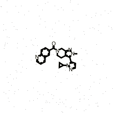 Cn1nc2c(c1-c1ccnn1C1CC1)CCN(C(=O)c1ccc3ncccc3c1)C2